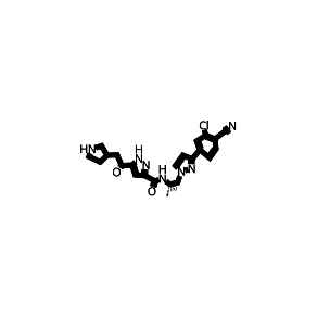 C[C@@H](Cn1ccc(-c2ccc(C#N)c(Cl)c2)n1)NC(=O)c1cc(C(=O)CC2CCNC2)[nH]n1